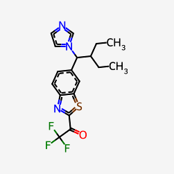 CCC(CC)C(c1ccc2nc(C(=O)C(F)(F)F)sc2c1)n1ccnc1